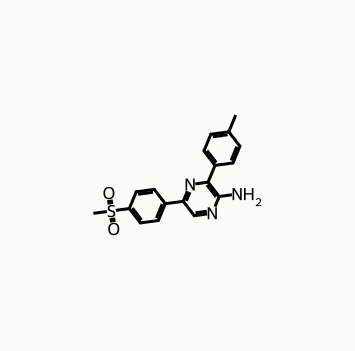 Cc1ccc(-c2nc(-c3ccc(S(C)(=O)=O)cc3)cnc2N)cc1